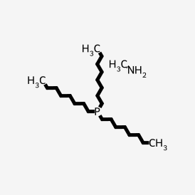 CCCCCCCCP(CCCCCCCC)CCCCCCCC.CN